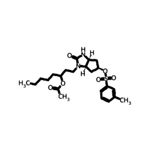 CCCCCC(CCN1C(=O)N[C@H]2C[C@@H](OS(=O)(=O)c3cccc(C)c3)C[C@H]21)OC(C)=O